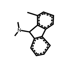 Cc1cccc2c1C(N(C)C)c1ccccc1-2